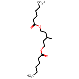 CC(CCOC(=O)CCCCC(=O)O)CCOC(=O)CCCCC(=O)O